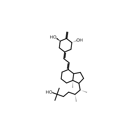 C=C1[C@H](O)CC(=C/C=C2\CCC[C@@]3(C)C2CCC3[C@H](C)[C@H](C)CCC(C)(C)O)C[C@H]1O